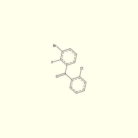 O=C(c1ccccc1Cl)c1cccc(Br)c1F